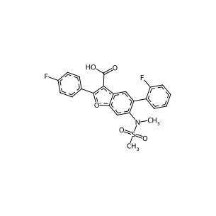 CN(c1cc2oc(-c3ccc(F)cc3)c(C(=O)O)c2cc1-c1ccccc1F)S(C)(=O)=O